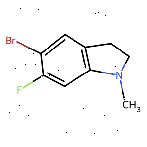 CN1CCc2cc(Br)c(F)cc21